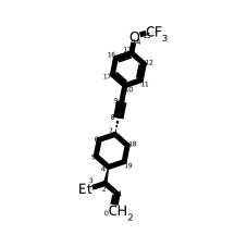 C=CC(CC)[C@H]1CC[C@H](C#Cc2ccc(OC(F)(F)F)cc2)CC1